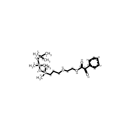 C[Si](C)(C)O[Si](C)(C)O[Si](C)(C)CCCOCCOC(=O)C(=O)c1ccccc1